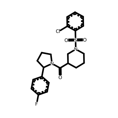 O=C(C1CCCN(S(=O)(=O)c2ccccc2Cl)C1)N1CCCC1c1ccc(F)cc1